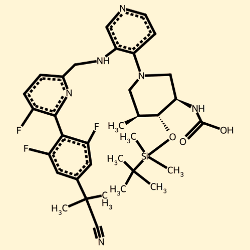 C[C@H]1CN(c2ccncc2NCc2ccc(F)c(-c3c(F)cc(C(C)(C)C#N)cc3F)n2)C[C@@H](NC(=O)O)[C@@H]1O[Si](C)(C)C(C)(C)C